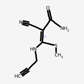 C#CCN/C(SC)=C(\C#N)C(N)=O